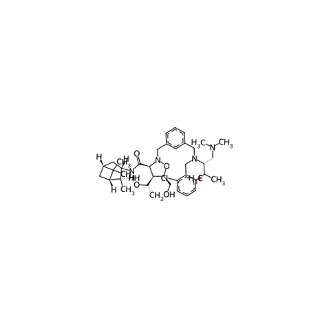 CC(C)[C@@H](CN(C)C)N(Cc1cccc(CN2O[C@@H](CO)[C@@H]([C@H](C)O)[C@H]2C(=O)N[C@H]2C[C@H]3C[C@@H]([C@@H]2C)C3(C)C)c1)Cc1c(F)cccc1Cl